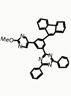 COc1ncc(-c2cc(-c3nc(-c4ccccc4)nc(-c4ccccc4)n3)cc(-c3cc4ccccc4c4ccccc34)c2)cn1